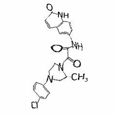 C[C@@H]1CN(c2ccc(Cl)cc2)CCN1C(=O)C(=O)Nc1ccc2[nH]c(=O)ccc2c1